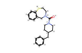 O=C(N1CCC(Cc2ccccc2)CC1)N1CCSc2ccccc2C1